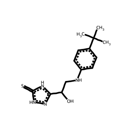 CC(C)(C)c1ccc(NCC(O)c2n[nH]c(=S)[nH]2)cc1